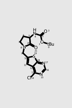 CC(C)(C)OC(=O)NC1CCN(Cc2cc3c(Cl)ncnc3s2)C1=O